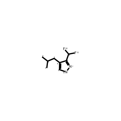 CC(C)CC1=C[N]N=C1C(F)F